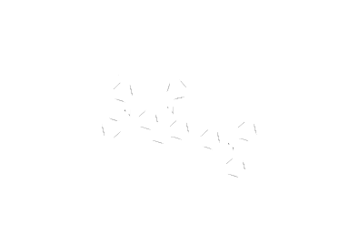 Cc1ccc(N(c2ccccc2)c2cc3ccc4cc(-c5ccc(N(c6ccccc6)c6ccccc6)cc5)cc5c4c3c(c2)n5-c2ccccc2)cc1